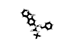 CC(C)(C)OC(=O)N(OCc1ccccc1)c1ccc2c(c1)[nH]c1ncccc12